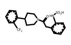 O=C(Cc1ccccc1NS(=O)(=O)O)N1CCC(c2ccccc2C(F)(F)F)CC1